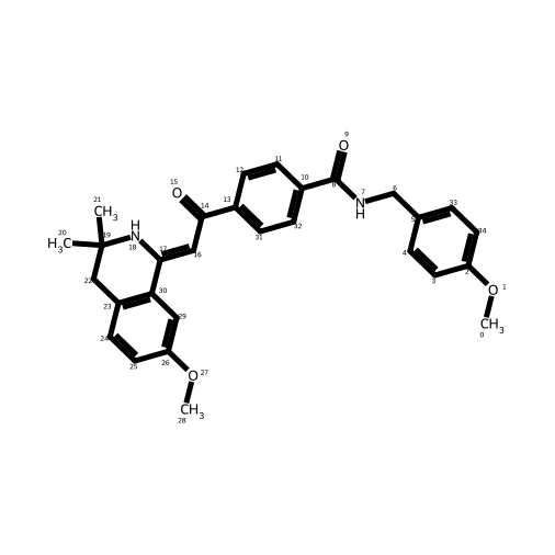 COc1ccc(CNC(=O)c2ccc(C(=O)C=C3NC(C)(C)Cc4ccc(OC)cc43)cc2)cc1